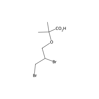 CC(C)(OCC(Br)CBr)C(=O)O